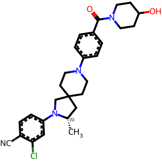 C[C@H]1CC2(CCN(c3ccc(C(=O)N4CCC(O)CC4)cc3)CC2)CN1c1ccc(C#N)c(Cl)c1